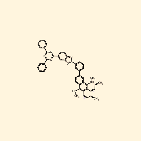 C=C/C=C\c1c(/C=C\C=C)c(BC)c2cc(-c3cccc(-c4nc5ccc(-c6nc(-c7ccccc7)nc(-c7ccccc7)n6)cc5o4)c3)ccc2c1BC